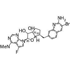 CNc1ncnc2c1c(F)cn2[C@@H]1O[C@@H]2[C@H](Cc3ccc4cc(Br)c(N)nc4c3)CC[C@]2(O)C1O